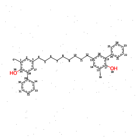 Cc1cc(CCCCCCCCCc2cc(C)c(O)c(-c3ccccc3)c2)cc(-c2ccccc2)c1O